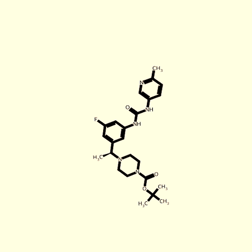 Cc1ccc(NC(=O)Nc2cc(F)cc([C@H](C)N3CCN(C(=O)OC(C)(C)C)CC3)c2)cn1